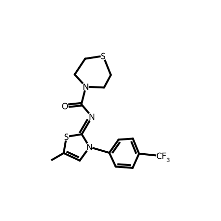 Cc1cn(-c2ccc(C(F)(F)F)cc2)/c(=N/C(=O)N2CCSCC2)s1